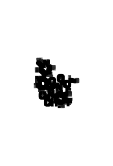 CCOC(=O)Nc1oc2c(-c3ccnc(C)c3)nccc2c1N(C(=O)O)c1ccc(F)c(F)c1